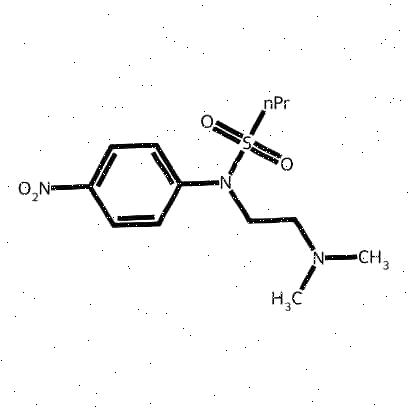 CCCS(=O)(=O)N(CCN(C)C)c1ccc([N+](=O)[O-])cc1